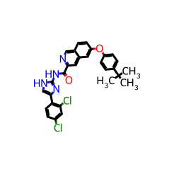 CC(C)(C)c1ccc(Oc2ccc3cnc(C(=O)Nc4nc(-c5ccc(Cl)cc5Cl)c[nH]4)cc3c2)cc1